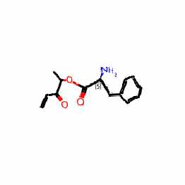 C=CC(=O)C(C)OC(=O)[C@@H](N)Cc1ccccc1